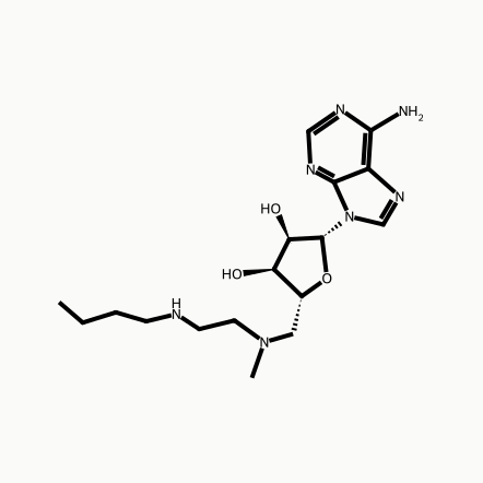 CCCCNCCN(C)C[C@H]1O[C@@H](n2cnc3c(N)ncnc32)[C@H](O)[C@@H]1O